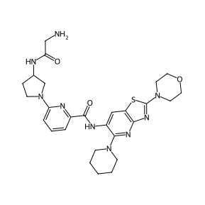 NCC(=O)NC1CCN(c2cccc(C(=O)Nc3cc4sc(N5CCOCC5)nc4nc3N3CCCCC3)n2)C1